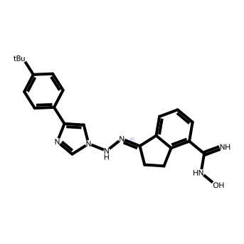 CC(C)(C)c1ccc(-c2cn(N/N=C3\CCc4c(C(=N)NO)cccc43)cn2)cc1